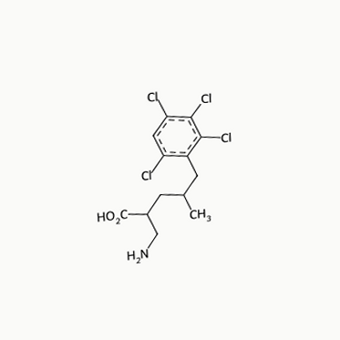 CC(Cc1c(Cl)cc(Cl)c(Cl)c1Cl)CC(CN)C(=O)O